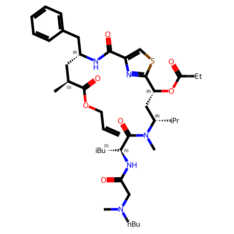 C=CCOC(=O)[C@@H](C)C[C@H](Cc1ccccc1)NC(=O)c1csc([C@@H](C[C@H](C(C)C)N(C)C(=O)[C@@H](NC(=O)CN(C)CCCC)[C@@H](C)CC)OC(=O)CC)n1